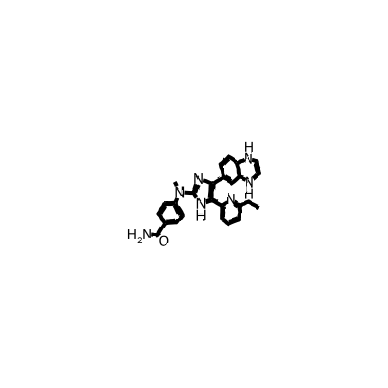 CCc1cccc(-c2[nH]c(N(C)c3ccc(C(N)=O)cc3)nc2C2=CC3NC=CNC3C=C2)n1